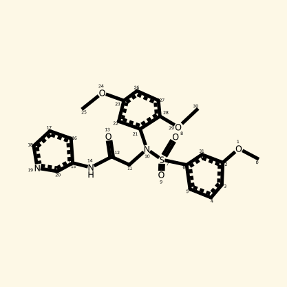 COc1cccc(S(=O)(=O)N(CC(=O)Nc2cccnc2)c2cc(OC)ccc2OC)c1